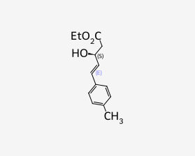 CCOC(=O)C[C@H](O)/C=C/c1ccc(C)cc1